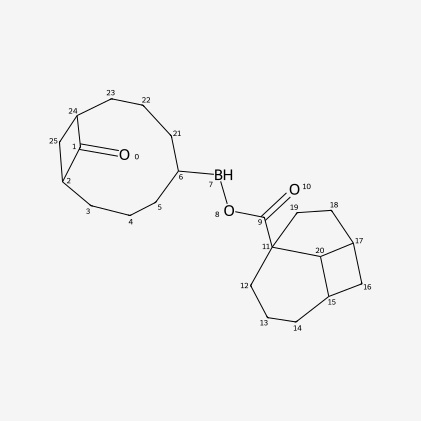 O=C1C2CCCC(BOC(=O)C34CCCC5CC(CC3)C54)CCCC1C2